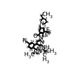 CCC1CCCN(Cc2cc3c(c(C(F)(F)F)c2)CN(c2cc(-c4cc(C#N)ccc4-c4nncn4C)cc(NCC(C)C)n2)C3=O)C1